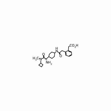 CN(C(=O)[C@@H](N)C1CCC(NC(=O)Cc2ccccc2CC(=O)O)CC1)C1CCC1